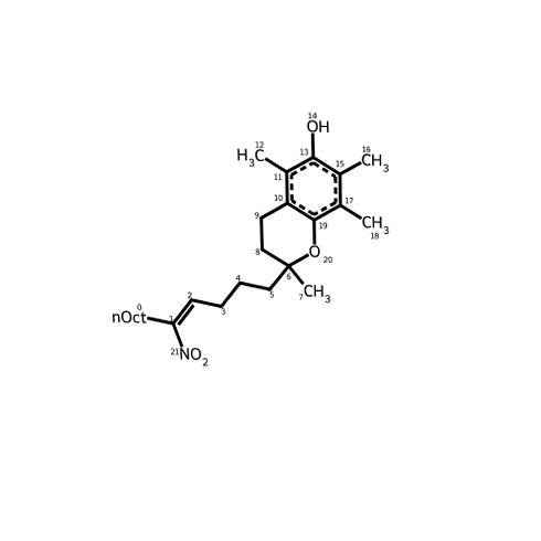 CCCCCCCCC(=CCCCC1(C)CCc2c(C)c(O)c(C)c(C)c2O1)[N+](=O)[O-]